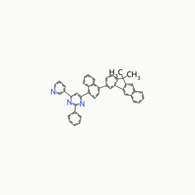 CC1(C)c2ccc(-c3ccc(-c4cc(-c5cccnc5)nc(-c5ccccc5)n4)c4ccccc34)cc2-c2cc3ccccc3cc21